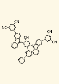 N#Cc1cc(C#N)cc(-c2ccc3c(c2)c2ccccc2n3-c2cc(-c3cccc(-c4ccccc4)n3)c(-n3c4ccccc4c4cc(-c5cc(C#N)cc(C#N)c5)ccc43)cc2C#N)c1